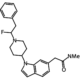 CNC(=O)Cc1ccc2ccn(C3CCN(C(F)Cc4ccccc4)CC3)c2c1